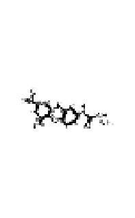 CNC(=O)Nc1ccc(Oc2ccc([N+](=O)[O-])cc2Cl)c(Cl)c1